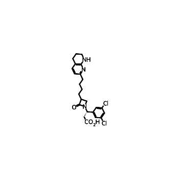 O=C(O)C[C@@H](c1cc(Cl)cc(Cl)c1)N1CC(CCCCc2ccc3c(n2)NCCC3)C1=O